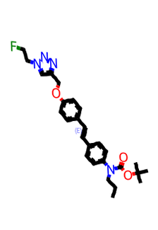 CCCN(C(=O)OC(C)(C)C)c1ccc(/C=C/c2ccc(OCc3cn(CCF)nn3)cc2)cc1